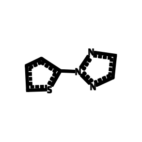 c1csc(-n2nccn2)c1